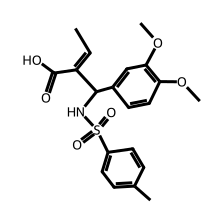 CC=C(C(=O)O)C(NS(=O)(=O)c1ccc(C)cc1)c1ccc(OC)c(OC)c1